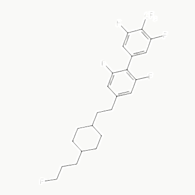 FCCCC1CCC(CCc2cc(F)c(-c3cc(F)c(C(F)(F)F)c(F)c3)c(F)c2)CC1